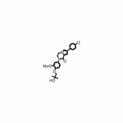 COc1cc(N2CCn3cc(-c4ccc(Cl)cc4)cc3C2=O)ccc1OCC(C)(C)O